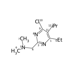 CCc1nc(CN(C)C)nc(Cl)c1C(C)C